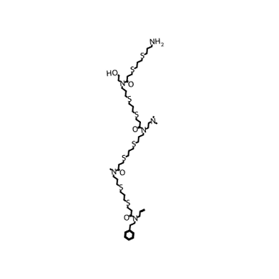 C=CCN(CCc1ccccc1)C(=O)CCSCCCSCCCN(C)C(=O)CCSCCCSCCCN(CCN(C)C)C(=O)CCSCCCSCCCN(CCO)C(=O)CCSCCCSCCCN